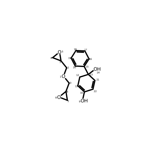 C(OCC1CO1)C1CO1.OC1=CCC(O)(c2ccccc2)C=C1